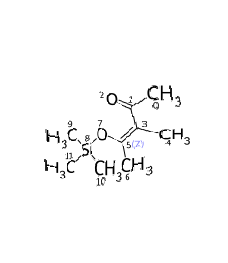 CC(=O)/C(C)=C(/C)O[Si](C)(C)C